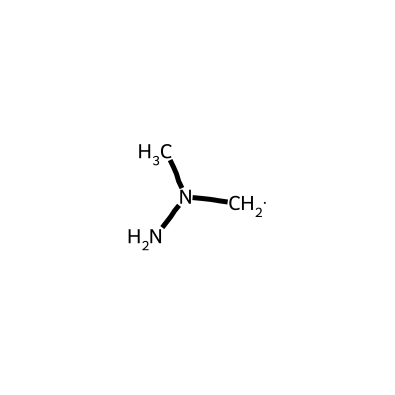 [CH2]N(C)N